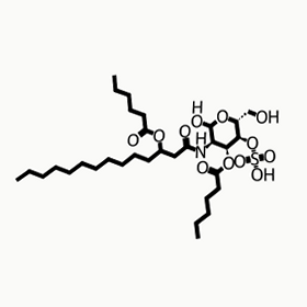 CCCCCCCCCCCC(CC(=O)N[C@H]1C(O)O[C@H](CO)[C@@H](OS(=O)(=O)O)[C@@H]1OC(=O)CCCCC)OC(=O)CCCCC